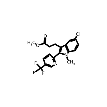 COC(=O)CCc1c(-c2ccc(C(F)(F)F)cn2)n(C)c2ccc(Cl)cc12